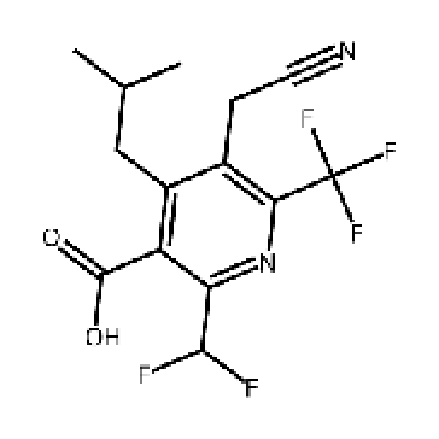 CC(C)Cc1c(CC#N)c(C(F)(F)F)nc(C(F)F)c1C(=O)O